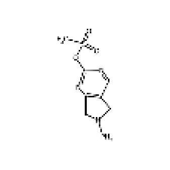 O=S(=O)(Oc1ncc2c(n1)CN(P)C2)C(F)(F)F